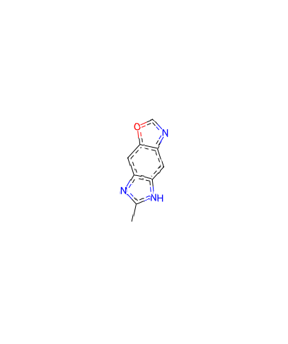 Cc1nc2cc3ocnc3cc2[nH]1